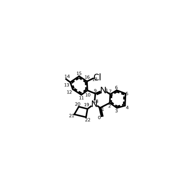 C=C1c2ccccc2N=C(c2ccc(C)cc2Cl)N1C1CCC1